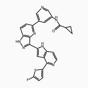 O=C(Nc1cncc(-c2ccc3[nH]nc(-c4cc5c(-c6ccc(F)s6)nccc5[nH]4)c3n2)c1)C1CC1